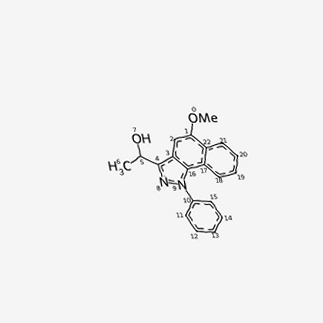 COc1cc2c(C(C)O)nn(-c3ccccc3)c2c2ccccc12